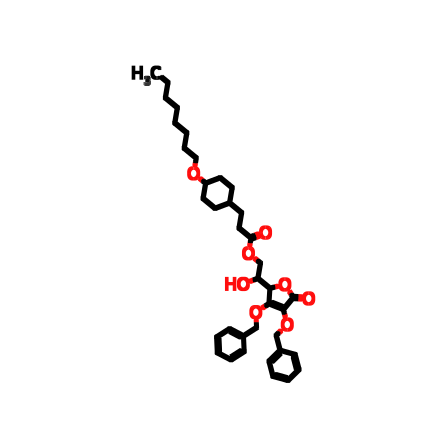 CCCCCCCCOC1CCC(CCC(=O)OCC(O)C2OC(=O)C(OCc3ccccc3)=C2OCc2ccccc2)CC1